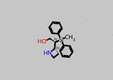 C[Si](c1ccccc1)(c1ccccc1)[C@H](CO)[C@@H]1CCN1